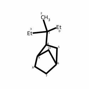 CCC(C)(CC)C1CC2CCC1C2